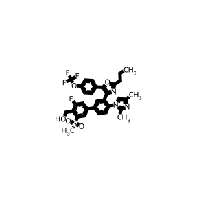 CCCc1nc(-c2cc(-c3cc(F)c(CO)c(S(C)(=O)=O)c3)ccc2-n2cc(C)nc2C)c(-c2ccc(OC(F)(F)F)cc2)o1